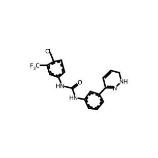 O=C(Nc1cccc(C2=NNCC=C2)c1)Nc1ccc(Cl)c(C(F)(F)F)c1